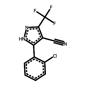 N#Cc1c(C(F)(F)F)n[nH]c1-c1ccccc1Cl